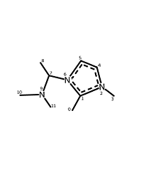 Cc1n(C)cc[n+]1C(C)N(C)C